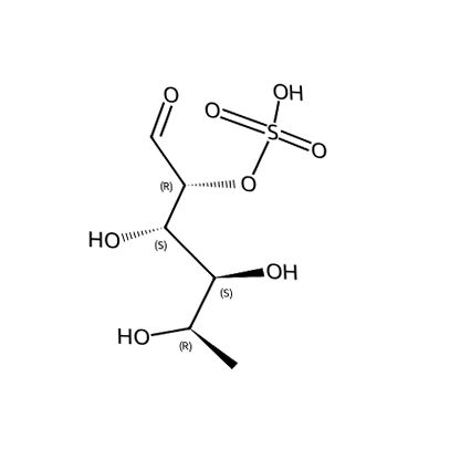 C[C@@H](O)[C@H](O)[C@H](O)[C@H](C=O)OS(=O)(=O)O